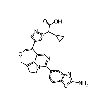 Nc1nc2cc(C3=NC=C4C(c5cnn(C(C(=O)O)C6CC6)c5)=COCC5=C4N3CC5)ccc2o1